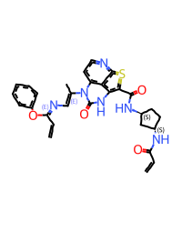 C=CC(=O)N[C@H]1CC[C@H](NC(=O)c2sc3nccc4c3c2NC(=O)N4/C(C)=C/N=C(\C=C)Oc2ccccc2)C1